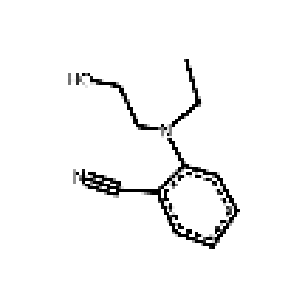 CCN(CCO)c1ccccc1C#N